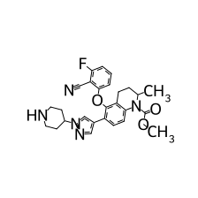 COC(=O)N1c2ccc(-c3cnn(C4CCNCC4)c3)c(Oc3cccc(F)c3C#N)c2CCC1C